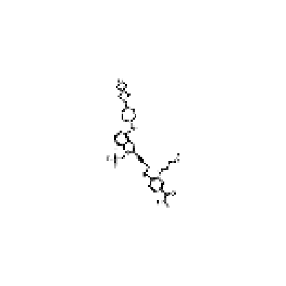 CNC(=O)c1ccc(NCC#Cc2cc3c(NC4CCC(N5CC6(COC6)C5)CC4)cccc3n2CC(F)(F)F)c(OCCOC)c1